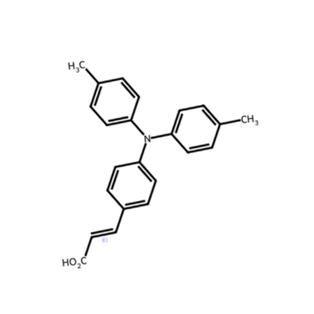 Cc1ccc(N(c2ccc(C)cc2)c2ccc(/C=C/C(=O)O)cc2)cc1